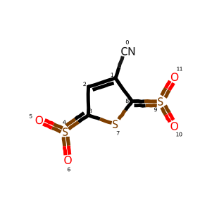 N#CC1=CC(=S(=O)=O)SC1=S(=O)=O